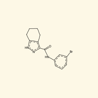 O=C(Nc1cccc(Br)c1)c1n[nH]c2c1CCCC2